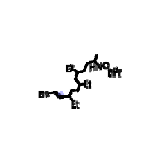 CC/C=C/C(CC)CCC(CC)CC(CC)CCC(C)NOCCC